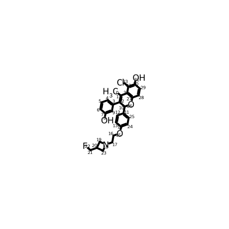 CC1=C(c2cccc(O)c2)C(c2ccc(OCCN3CC(CF)C3)cc2)Oc2ccc(O)c(Cl)c21